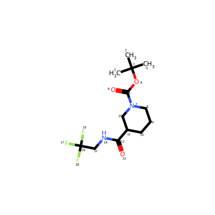 CC(C)(C)OC(=O)N1CCCC(C(=O)NCC(F)(F)F)C1